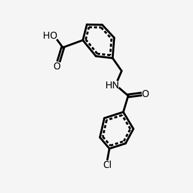 O=C(O)c1cccc(CNC(=O)c2ccc(Cl)cc2)c1